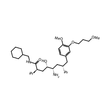 COCCCOc1cc(C[C@@H](C[C@H](N)[C@@H](O)C[C@H](C(=O)NCC2CCCCC2)C(C)C)C(C)C)ccc1OC